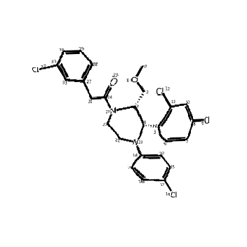 COC[C@@H]1[C@H](c2ccc(Cl)cc2Cl)N(c2ccc(Cl)cc2)CCN1C(=O)Cc1cccc(Cl)c1